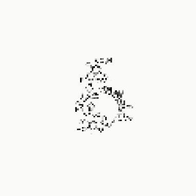 COc1c(N2CC(NC(=O)C3CN(C4=C5NC(=O)/C(C)=C\C=C\[C@H](C)[C@H](O)[C@@H](C)[C@@H](O)[C@@H](C)[C@H](OC(C)=O)[C@H](C)[C@@H](OC)/C=C/O[C@@]6(C)Oc7c(C)c(O)c(c(c7C6=O)C4=O)C5=O)C3)C2)c(F)cc2c(=O)c(C(=O)O)cn(C3CC3)c12